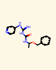 CC(NC(=O)NC(=N)Nc1ccncc1)OCc1ccccc1